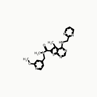 COc1cc(CN(C)C(=O)c2sc3ncnc(NCc4ncccn4)c3c2C)ccn1